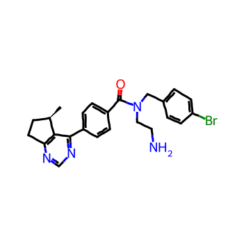 C[C@@H]1CCc2ncnc(-c3ccc(C(=O)N(CCN)Cc4ccc(Br)cc4)cc3)c21